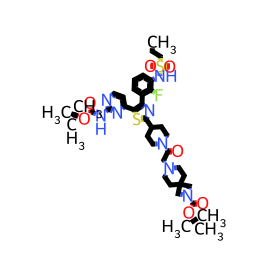 CCCS(=O)(=O)Nc1cccc(-c2nc(C3CCN(C(=O)CN4CCC5(CC4)CN(C(=O)OC(C)(C)C)C5)CC3)sc2-c2ccnc(NC(=O)OC(C)(C)C)n2)c1F